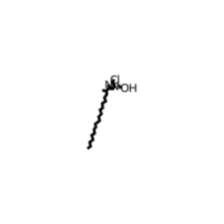 CCCCCCCCCCCCCCCCCCC(C)C1CN(CCO)C(Cl)=N1